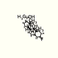 CC(O)[C@H]1CC[C@H]2[C@@H]3CCC4CC(F)CC[C@]4(C)[C@H]3CC[C@]12C